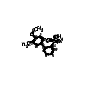 COc1ccc(-c2ccccc2S(C)(=O)=O)cc1C